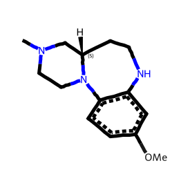 COc1ccc2c(c1)NCC[C@H]1CN(C)CCN21